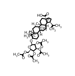 C=C(C)[C@@H]1CC[C@]2(C(=O)O)CC[C@]3(C)[C@H](CC[C@@H]4[C@@]5(C)CC[C@H](O[C@@H]6O[C@H](COC(C)=O)[C@@H](OC(C)=O)[C@H](OC(C)=O)[C@H]6OC(C)=O)C(C)(C)[C@@H]5CC[C@]43C)[C@@H]12